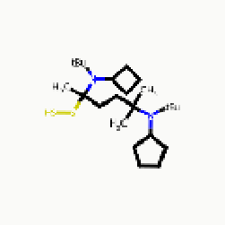 CC(C)(C)N(C1CCCC1)C(C)(C)CCC(C)(SS)N(C1CCC1)C(C)(C)C